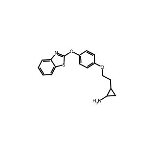 NC1CC1CCOc1ccc(Oc2nc3ccccc3s2)cc1